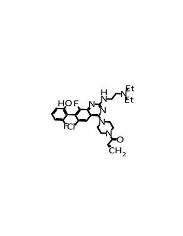 C=CC(=O)N1CCN(c2nc(NCCN(CC)CC)nc3c(F)c(-c4c(O)cccc4F)c(Cl)cc23)CC1